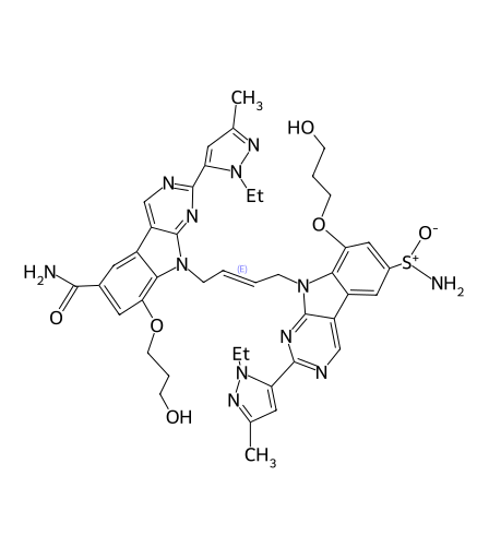 CCn1nc(C)cc1-c1ncc2c3cc(C(N)=O)cc(OCCCO)c3n(C/C=C/Cn3c4nc(-c5cc(C)nn5CC)ncc4c4cc([S+](N)[O-])cc(OCCCO)c43)c2n1